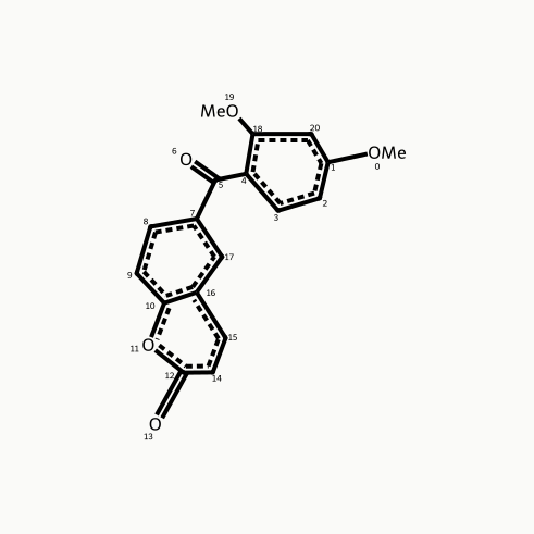 COc1ccc(C(=O)c2ccc3oc(=O)ccc3c2)c(OC)c1